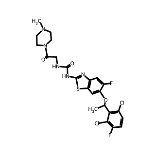 CC(Oc1cc2sc(NC(=O)NCC(=O)N3CCN(C)CC3)nc2cc1F)c1c(Cl)ccc(F)c1Cl